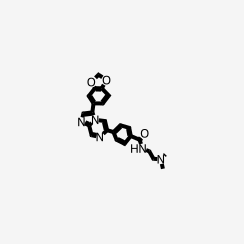 CN(C)CCNC(=O)c1ccc(-c2cn3c(-c4ccc5c(c4)OCO5)cnc3cn2)cc1